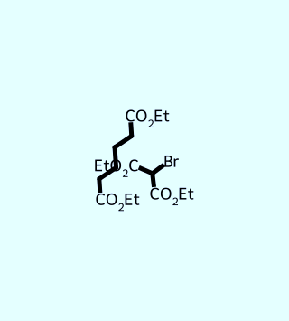 CCOC(=O)C(Br)C(=O)OCC.CCOC(=O)CCCCC(=O)OCC